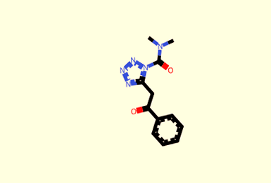 CN(C)C(=O)n1nnnc1CC(=O)c1ccccc1